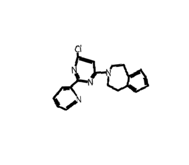 Clc1cc(N2CCc3ccccc3CC2)nc(-c2ccccn2)n1